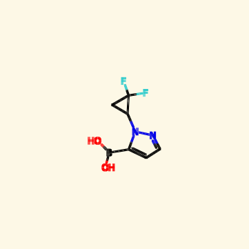 OB(O)c1ccnn1C1CC1(F)F